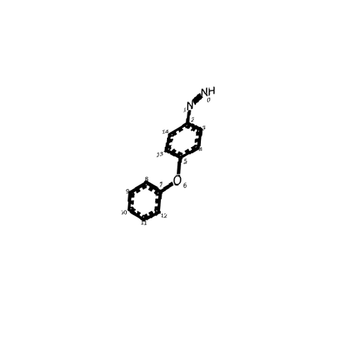 N=Nc1ccc(Oc2ccccc2)cc1